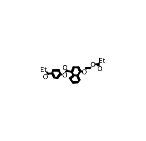 CCC(=O)OCCOc1ccc(C(=O)Oc2ccc(C(=O)CC)cc2)c2ccccc12